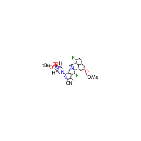 C#Cc1c(F)ccc2cc(OCOC)cc(-c3ncc4c(N5C[C@H]6C[C@@H](O)[C@@H](C5)N6C(=O)OC(C)(C)C)nc(C#N)c(C)c4c3F)c12